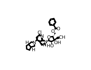 C#C[C@@]1(O)[C@@H](COC(=O)c2ccccc2)O[C@H](n2ncc3c(N4C[C@H]5CCC[C@H]5C4)cc(Cl)nc32)[C@@H]1O